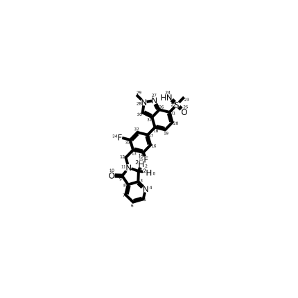 [2H]C1([2H])c2ncccc2C(=O)N1Cc1c(F)cc(-c2ccc(S(C)(=N)=O)c3nn(C)cc23)cc1F